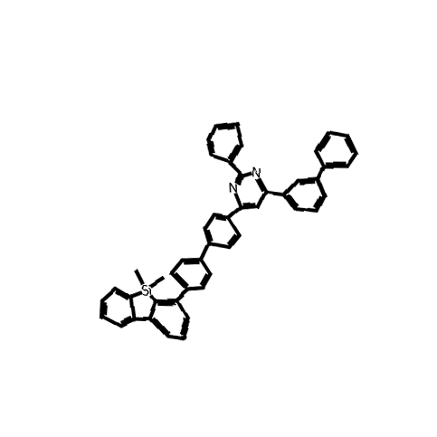 C[Si]1(C)c2ccccc2-c2cccc(-c3ccc(-c4ccc(-c5cc(-c6cccc(-c7ccccc7)c6)nc(-c6ccccc6)n5)cc4)cc3)c21